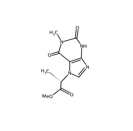 COC(=O)[C@H](C)n1cnc2[nH]c(=O)n(C)c(=O)c21